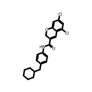 O=C(Nc1ccc([CH]C2CCCCC2)cc1)C1=Cc2c(Cl)cc(Cl)cc2OC1